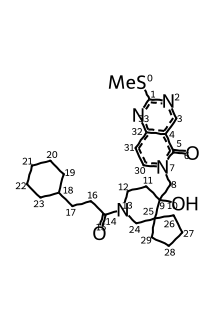 CSc1ncc2c(=O)n(CC3(O)CCN(C(=O)CCC4CCCCC4)CC34CCCC4)ccc2n1